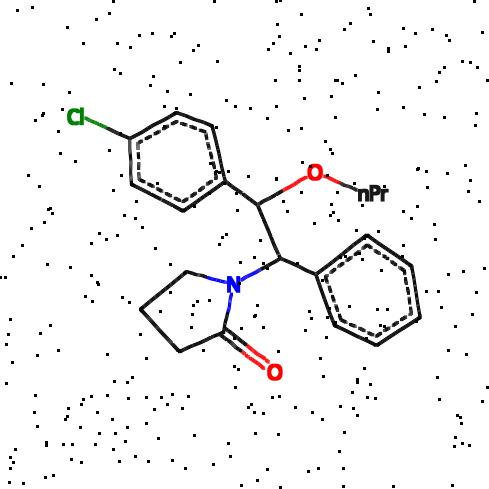 CCCOC(c1ccc(Cl)cc1)C(c1ccccc1)N1CCCC1=O